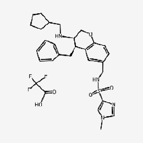 Cn1cnc(S(=O)(=O)NCc2ccc3c(c2)[C@@H](Cc2ccccc2)[C@@H](NCC2CCCC2)CO3)c1.O=C(O)C(F)(F)F